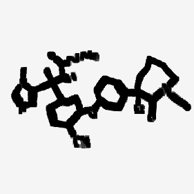 CC[C@@]1(c2cccc(Oc3cc(C(C)(NC(=O)NC)c4cncn4C)ccc3C#N)c2)CCCCN(C)C1=O